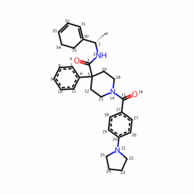 C[C@H](NC(=O)C1(c2ccccc2)CCN(C(=O)c2ccc(N3CCCC3)cc2)CC1)C1=CC=CCC1